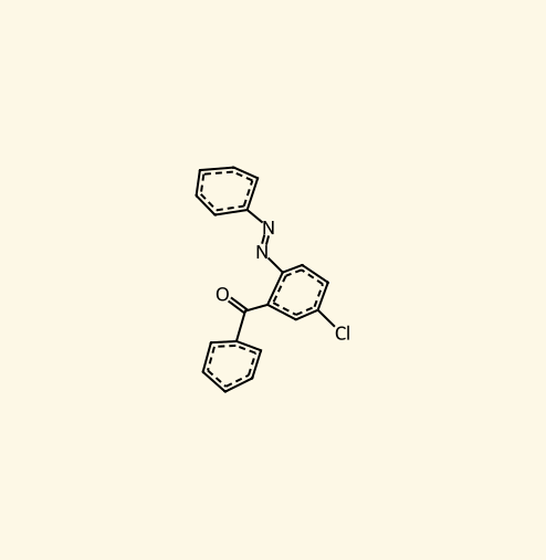 O=C(c1ccccc1)c1cc(Cl)ccc1N=Nc1ccccc1